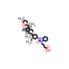 CC[C@@H]1C[C@H](NC(=O)N(CCCC(=O)O)C2CCCCC2)CC[C@]1(C)[C@H]1CC[C@@]2(C)[C@H](C1)C[C@@H]1O[C@]3(CC[C@H](C)CO3)[C@@H](C)[C@@H]12